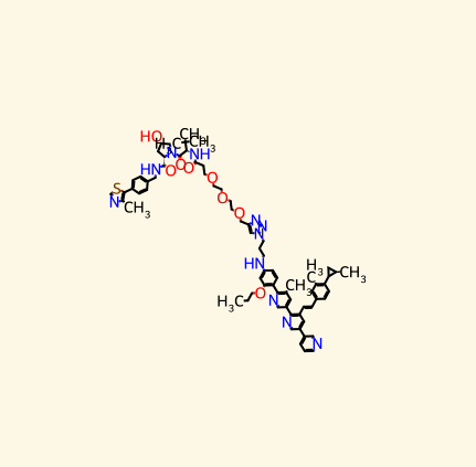 CCCOc1cc(NCCCn2cc(COCCOCCOCCC(=O)N[C@H](C(=O)N3C[C@H](O)C[C@H]3C(=O)NCc3ccc(-c4scnc4C)cc3)C(C)(C)C)nn2)ccc1-c1ncc(-c2ncc(-c3cccnc3)cc2/C=C/c2ccc(C3C[C@H]3C)c(C)c2)cc1C